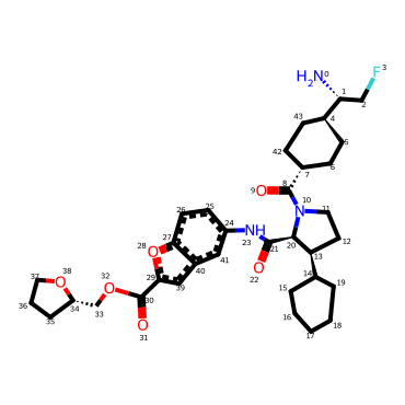 N[C@H](CF)[C@H]1CC[C@H](C(=O)N2CC[C@@H](C3CCCCC3)[C@H]2C(=O)Nc2ccc3oc(C(=O)OC[C@@H]4CCCO4)cc3c2)CC1